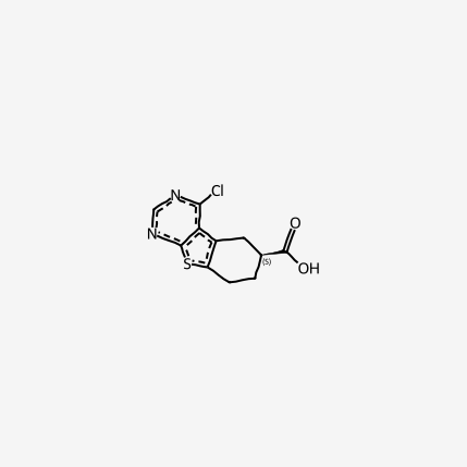 O=C(O)[C@H]1CCc2sc3ncnc(Cl)c3c2C1